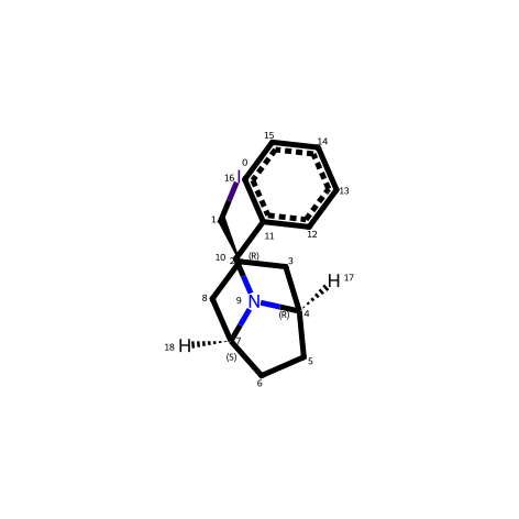 IC[C@H]1C[C@H]2CC[C@@H](C1)N2Cc1ccccc1